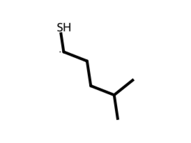 CC(C)CC[CH]S